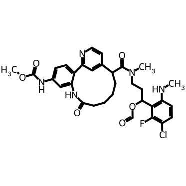 CNc1ccc(Cl)c(F)c1C(CCN(C)C(=O)C1CCCCC(=O)Nc2cc(NC(=O)OC)ccc2-c2cc1ccn2)OC=O